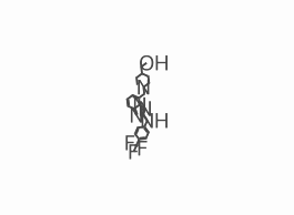 OCC1CCN(Cc2cccc3nc(Nc4ccc(C(F)(F)F)cc4)nn23)CC1